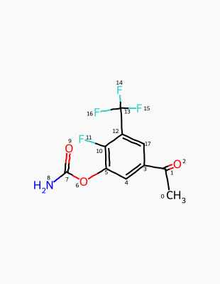 CC(=O)c1cc(OC(N)=O)c(F)c(C(F)(F)F)c1